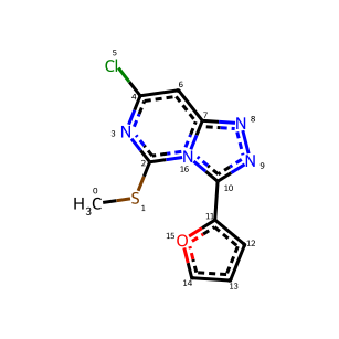 CSc1nc(Cl)cc2nnc(-c3ccco3)n12